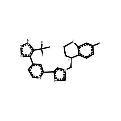 Fc1ccc2c(c1)OCC[C@@H]2Cn1cnc(-c2cc(-c3nn[nH]c3C(F)(F)F)ccn2)c1